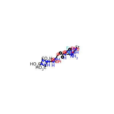 CCC(=O)NCCNC(=O)/N=C(/N)NCCC[C@@H](NC(=O)[C@@H](c1ccccc1)c1cccc(OCCCCNC(=O)[C@@H](CO)NC(=O)CCNCN2CCN(CC(=O)O)CCN(CC(=O)O)CCN(CC(=O)O)CC2)c1)C(=O)NCc1c(F)cc(O)cc1F